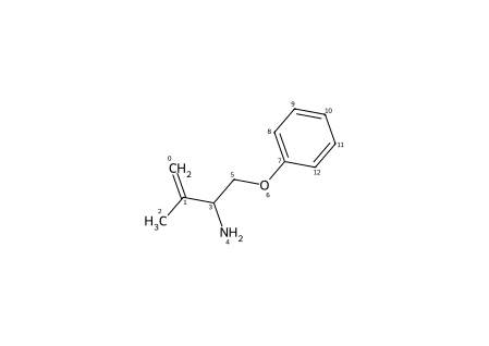 C=C(C)C(N)COc1ccccc1